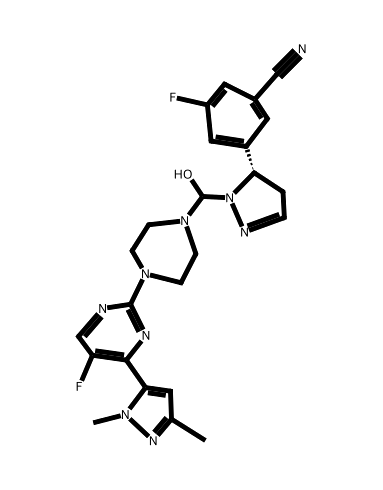 Cc1cc(-c2nc(N3CCN(C(O)N4N=CC[C@H]4c4cc(F)cc(C#N)c4)CC3)ncc2F)n(C)n1